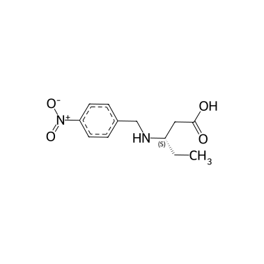 CC[C@@H](CC(=O)O)NCc1ccc([N+](=O)[O-])cc1